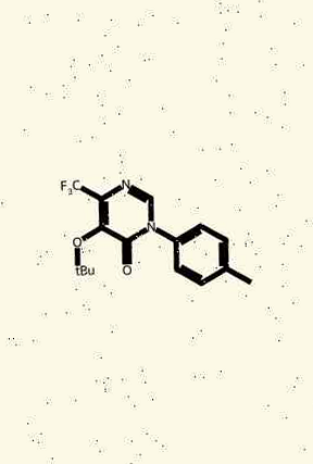 Cc1ccc(-n2cnc(C(F)(F)F)c(OC(C)(C)C)c2=O)cc1